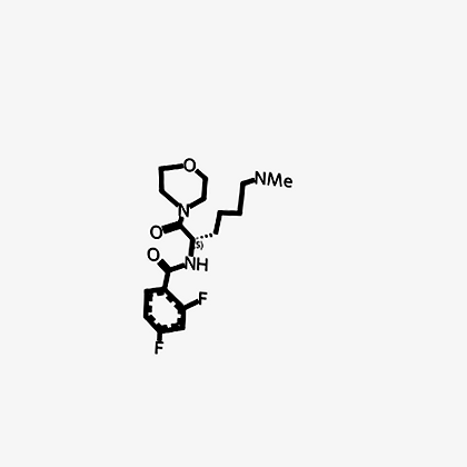 CNCCCC[C@H](NC(=O)c1ccc(F)cc1F)C(=O)N1CCOCC1